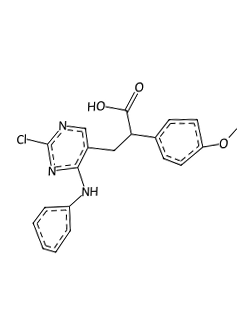 COc1ccc(C(Cc2cnc(Cl)nc2Nc2ccccc2)C(=O)O)cc1